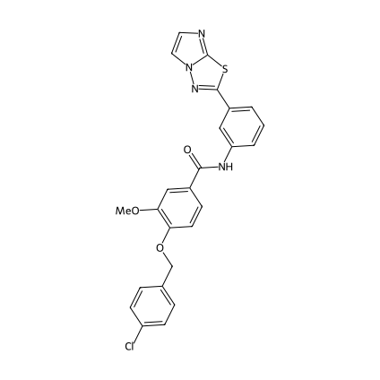 COc1cc(C(=O)Nc2cccc(-c3nn4ccnc4s3)c2)ccc1OCc1ccc(Cl)cc1